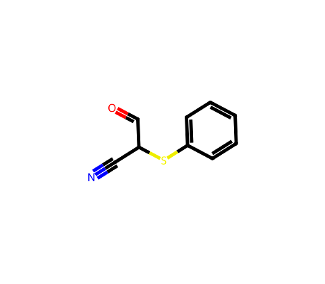 N#CC(C=O)Sc1ccccc1